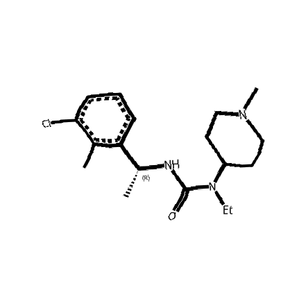 CCN(C(=O)N[C@H](C)c1cccc(Cl)c1C)C1CCN(C)CC1